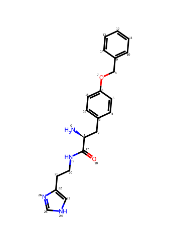 N[C@@H](Cc1ccc(OCc2ccccc2)cc1)C(=O)NCCc1c[nH]cn1